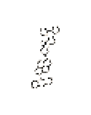 c1ccc2c(-c3ccc4ccc5c(-c6ccc7oc8c(ccc9c%10ccccc%10c%10ccccc%10c98)c7c6)ccc6ccc3c4c65)c3ccccc3cc2c1